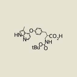 Cc1c[nH]c2nccc(Oc3ccc(CC(CNC(=O)OC(C)(C)C)C(=O)O)cc3)c12